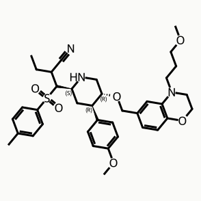 CCC(C#N)C([C@@H]1C[C@H](c2ccc(OC)cc2)[C@@H](OCc2ccc3c(c2)N(CCCOC)CCO3)CN1)S(=O)(=O)c1ccc(C)cc1